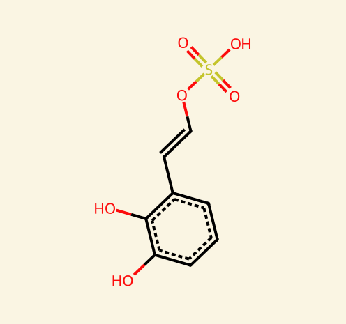 O=S(=O)(O)OC=Cc1cccc(O)c1O